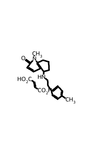 Cc1ccc(CCNC2CCCc3c2ccc(=O)n3C)cc1.O=C(O)/C=C/C(=O)O